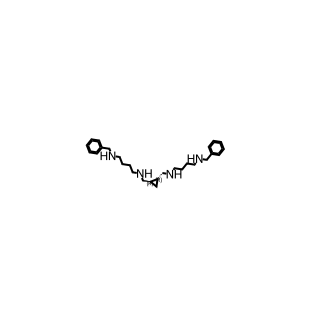 c1ccc(CNCCCCNC[C@@H]2C[C@H]2CNCCCCNCc2ccccc2)cc1